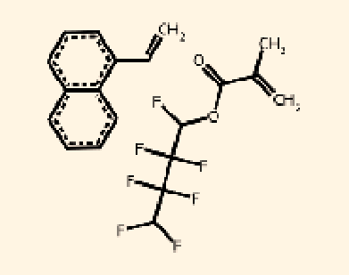 C=C(C)C(=O)OC(F)C(F)(F)C(F)(F)C(F)F.C=Cc1cccc2ccccc12